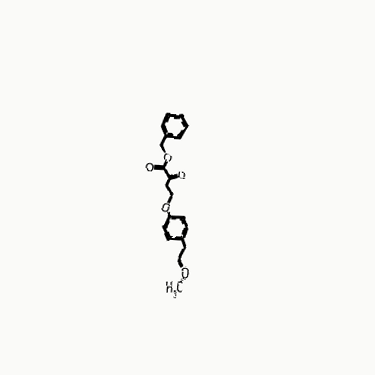 COCCc1ccc(OCCC(=O)C(=O)OCc2ccccc2)cc1